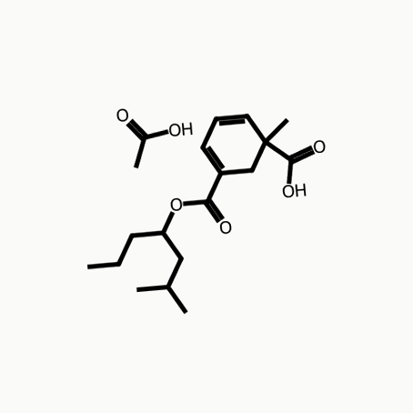 CC(=O)O.CCCC(CC(C)C)OC(=O)C1=CC=CC(C)(C(=O)O)C1